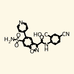 N#Cc1ccc(NC(=O)c2noc3cc(S(N)(=O)=O)c(-c4ccncc4)cc23)c(C(=O)O)c1